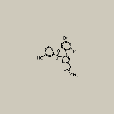 Br.CNCc1cc(-c2ccccc2F)n(S(=O)(=O)c2cccc(O)c2)c1